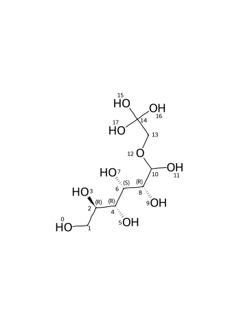 OC[C@@H](O)[C@@H](O)[C@H](O)[C@@H](O)C(O)OCC(O)(O)O